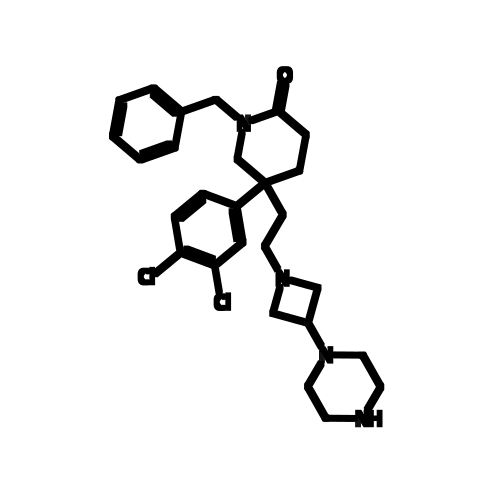 O=C1CCC(CCN2CC(N3CCNCC3)C2)(c2ccc(Cl)c(Cl)c2)CN1Cc1ccccc1